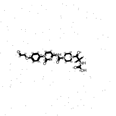 CC(C)(NC(=O)O)C(=O)N1CCN(C(=O)Nc2ccn(-c3ccc(OCC=O)cc3)c(=O)n2)CC1